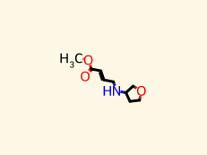 COC(=O)C=CCNC1CCOC1